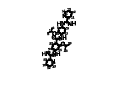 CC(C)Oc1cc(NC(=N)c2ccccn2)ccc1NC(=O)c1ccc(NC(=N)c2ccccn2)cc1OC(C)C